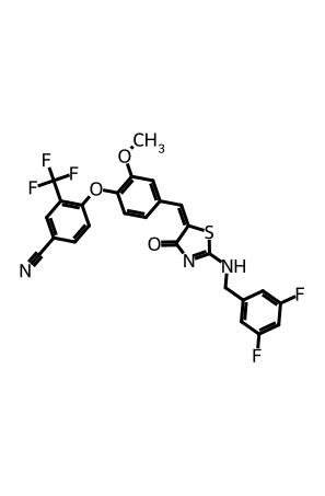 COc1cc(C=C2SC(NCc3cc(F)cc(F)c3)=NC2=O)ccc1Oc1ccc(C#N)cc1C(F)(F)F